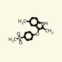 Cc1ccc2[nH]c(C)c(Oc3ccc(S(C)(=O)=O)cc3)c2c1